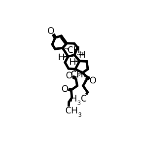 CCCC(=O)CC(=O)[C@@]1(C(=O)CCC)CC[C@H]2[C@@H]3CCC4=CC(=O)CC[C@]4(C)[C@H]3CC[C@@]21C